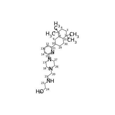 CC1(C)CCC(C)(C)C2CC(c3cccc(N4CCN(CCNCCO)CC4)n3)CCC21